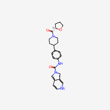 O=C(Nc1ccc(C2CCN(C(=O)[C@@H]3CCCO3)CC2)cc1)N1C=C2C=CNC=C2C1